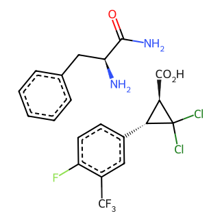 NC(=O)[C@@H](N)Cc1ccccc1.O=C(O)[C@@H]1[C@@H](c2ccc(F)c(C(F)(F)F)c2)C1(Cl)Cl